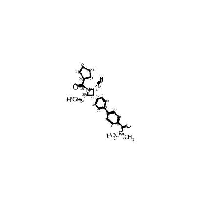 CN(C)C(=O)c1ccc(-c2ccc([C@H]3[C@@H](C#N)N(C(=O)C4CCCC4)[C@H]3CO)cc2)cc1